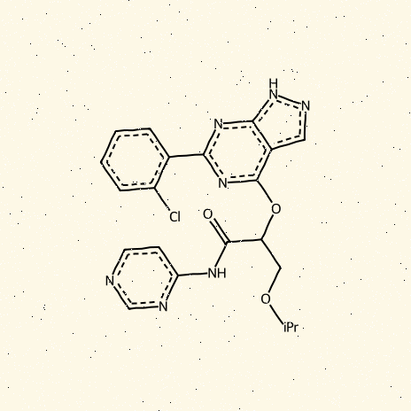 CC(C)OCC(Oc1nc(-c2ccccc2Cl)nc2[nH]ncc12)C(=O)Nc1ccncn1